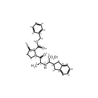 CCOC(=O)C(N[C@@H](C)C(=O)N1CCC(=S)[C@H]1C(=O)OCc1ccccc1)C1Cc2ccccc2C1